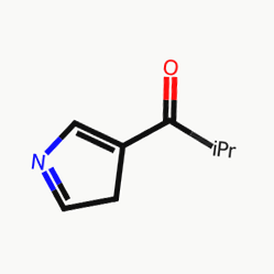 CC(C)C(=O)C1=CN=CC1